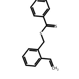 C=Cc1ccccc1CSC(=S)c1ccccc1